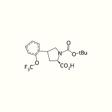 CC(C)(C)OC(=O)N1CC(c2ccccc2OC(F)(F)F)C[C@@H]1C(=O)O